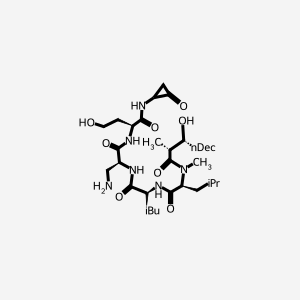 CCCCCCCCCC[C@@H](O)[C@@H](C)C(=O)N(C)[C@@H](CC(C)C)C(=O)N[C@H](C(=O)N[C@@H](CN)C(=O)N[C@@H](CCO)C(=O)NC1CC1=O)[C@H](C)CC